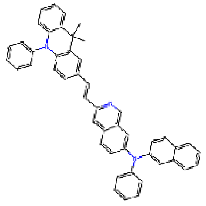 CC1(C)c2ccccc2N(c2ccccc2)c2ccc(/C=C/c3cc4ccc(N(c5ccccc5)c5ccc6ccccc6c5)cc4cn3)cc21